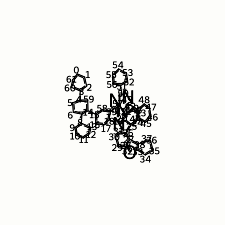 c1ccc(-c2ccc(-c3ccccc3)c(-c3ccc(-n4c5ccccc5c5c6c(ccc54)oc4ccccc46)c(-c4nc(-c5ccccc5)nc(-c5ccccc5)n4)c3)c2)cc1